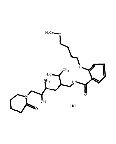 COCCCCOc1ccccc1C(=O)NCC(CC(N)C(O)CN1CCCCC1=O)C(C)C.Cl